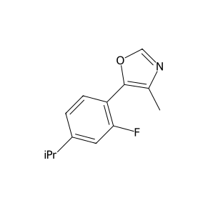 Cc1ncoc1-c1ccc(C(C)C)cc1F